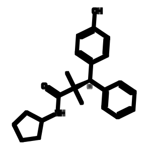 CC(C)(C(=O)NC1CCCC1)[C@H](c1ccccc1)c1ccc(O)cc1